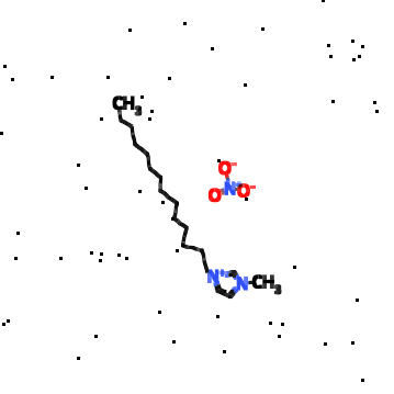 CCCCCCCCCCCCCC[n+]1ccn(C)c1.O=[N+]([O-])[O-]